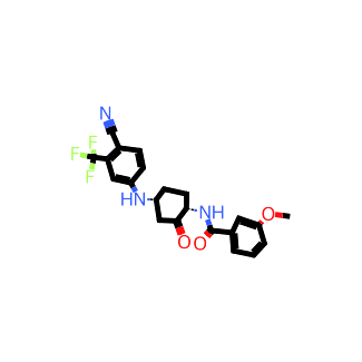 COc1cccc(C(=O)N[C@H]2CC[C@@H](Nc3ccc(C#N)c(C(F)(F)F)c3)CC2=O)c1